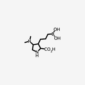 CN(C)C1CNC(C(=O)O)C1CCCB(O)O